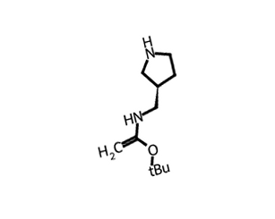 C=C(NC[C@@H]1CCNC1)OC(C)(C)C